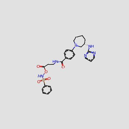 O=C(CCNC(=O)c1ccc(N2CCCC[C@H](Nc3ncccn3)C2)cc1)ONS(=O)(=O)c1ccccc1